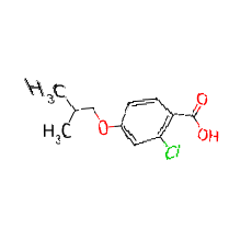 CC(C)COc1ccc(C(=O)O)c(Cl)c1